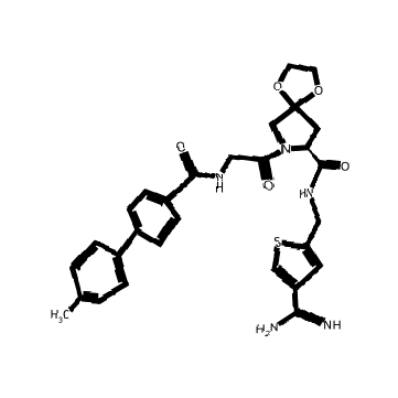 Cc1ccc(-c2ccc(C(=O)NCC(=O)N3CC4(C[C@H]3C(=O)NCc3cc(C(=N)N)cs3)OCCO4)cc2)cc1